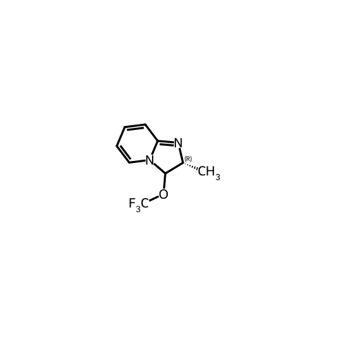 C[C@H]1N=C2C=CC=CN2C1OC(F)(F)F